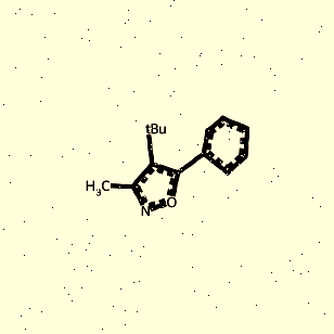 Cc1noc(-c2ccccc2)c1C(C)(C)C